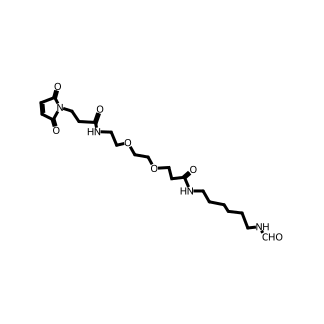 O=CNCCCCCCNC(=O)CCOCCOCCNC(=O)CCN1C(=O)C=CC1=O